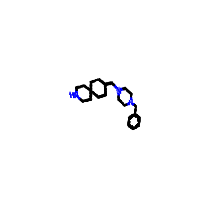 c1ccc(CN2CCN(CC3CCC4(CCNCC4)CC3)CC2)cc1